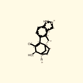 O[C@H]1C(Cl)=C2c3ccc4[nH]ncc4c3C[C@@]23CC[C@@H]1C3